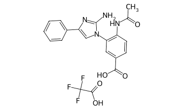 CC(=O)Nc1ccc(C(=O)O)cc1-n1cc(-c2ccccc2)nc1N.O=C(O)C(F)(F)F